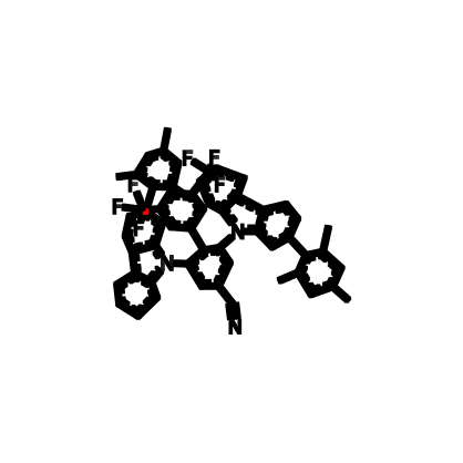 Cc1cc(C)c(-c2ccc3c4ccccc4n(-c4cc(C#N)cc(-n5c6ccccc6c6ccc(-c7c(C)cc(C)cc7C)cc65)c4-c4cc(C(F)(F)F)cc(C(F)(F)F)c4)c3c2)c(C)c1